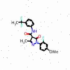 COc1ccc(N2N=C(C)C(C(=O)Nc3cccc(C(C)(F)F)c3)C2=O)c(F)c1